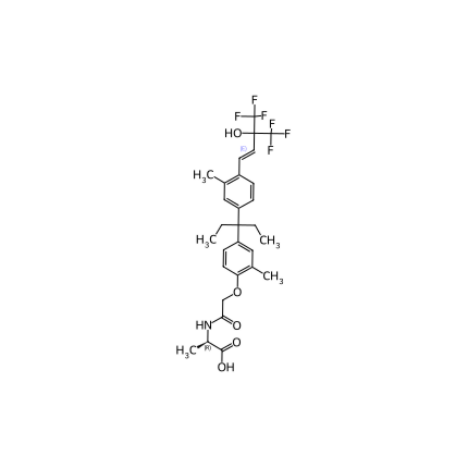 CCC(CC)(c1ccc(/C=C/C(O)(C(F)(F)F)C(F)(F)F)c(C)c1)c1ccc(OCC(=O)N[C@H](C)C(=O)O)c(C)c1